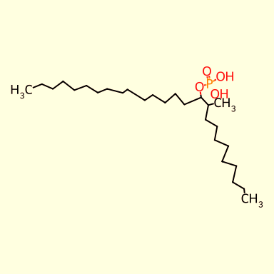 CCCCCCCCCCCCCCCC(OP(=O)(O)O)C(C)CCCCCCCCC